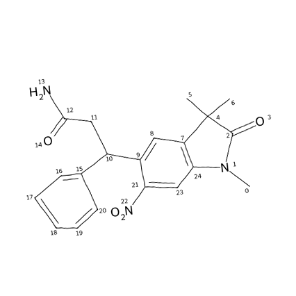 CN1C(=O)C(C)(C)c2cc(C(CC(N)=O)c3ccccc3)c([N+](=O)[O-])cc21